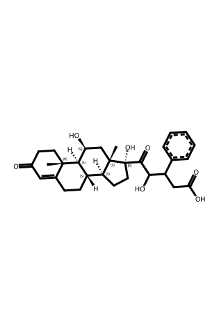 C[C@]12CCC(=O)C=C1CC[C@@H]1[C@@H]2[C@@H](O)C[C@@]2(C)[C@H]1CC[C@]2(O)C(=O)C(O)C(CC(=O)O)c1ccccc1